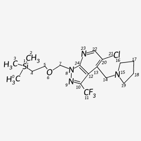 C[Si](C)(C)CCOCn1nc(C(F)(F)F)c2c(CN3CCCC3)c(Cl)cnc21